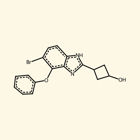 OC1CC(c2nc3c(Oc4ccccc4)c(Br)ccc3[nH]2)C1